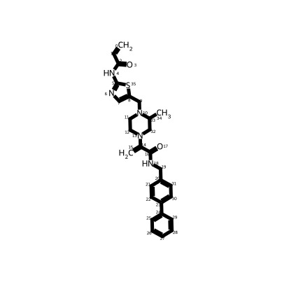 C=CC(=O)Nc1ncc(CN2CCN(C(=C)C(=O)NCc3ccc(-c4ccccc4)cc3)CC2C)s1